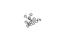 N#Cc1ccc2c(c1)C1(c3cc(C#N)ccc3-2)c2ccccc2-c2c1c1ccc(N(C3=CC=CCC3)c3ccccc3)cc1n2-c1cc(-c2ccccc2)cc(Cc2ccccc2)n1